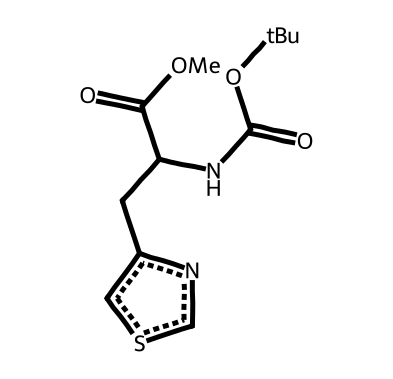 COC(=O)C(Cc1cscn1)NC(=O)OC(C)(C)C